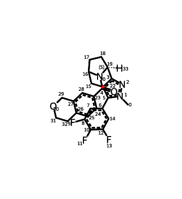 Cn1nc2c(c1-c1cc(F)c(F)c(F)c1)CC1CC[C@@H]2N1C(=O)c1ccc2c(c1)COCC2